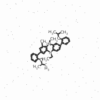 CCN1c2ccc(-c3ccccc3OC(C)C)cc2N(CC)c2c(C)cc(-c3ccccc3OC(C)C)cc21